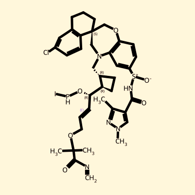 C=NC(=O)C(C)(C)OC/C=C/[C@H](OPI)[C@@H]1CC[C@H]1CN1C[C@@]2(CCCc3cc(Cl)ccc32)COc2ccc([S+]([O-])NC(=O)c3cn(C)nc3C)cc21